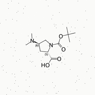 CN(C)[C@@H]1C[C@@H](C(=O)O)N(C(=O)OC(C)(C)C)C1